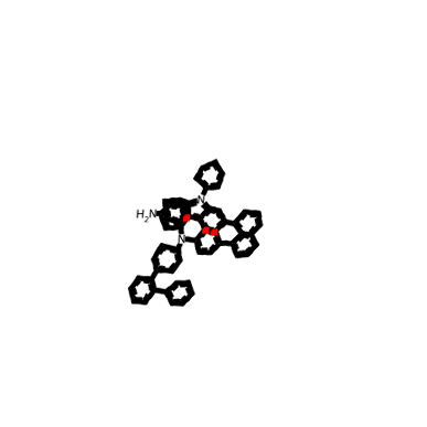 Nc1cccc(N(c2ccc(-c3ccccc3-c3ccccc3)cc2)c2ccc(-c3cccc4cccc(-c5ccc6c7ccccc7n(-c7ccccc7)c6c5)c34)cc2)c1